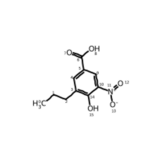 CCCc1cc(C(=O)O)cc([N+](=O)[O-])c1O